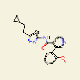 COc1ccccc1-c1cnccc1C(=O)Nc1nnc(CCC2CC2)[se]1